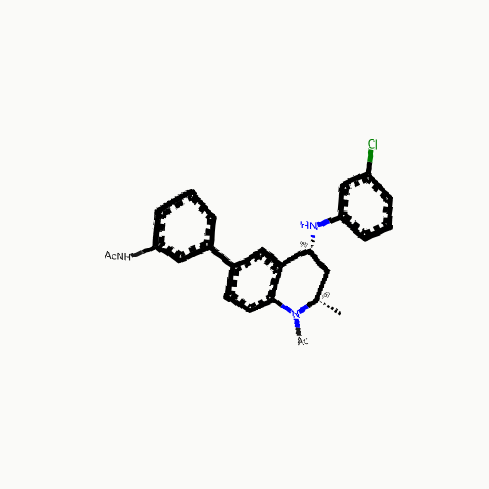 CC(=O)Nc1cccc(-c2ccc3c(c2)[C@H](Nc2cccc(Cl)c2)C[C@H](C)N3C(C)=O)c1